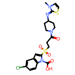 Cn1ccs/c1=N\C1CCN(C(=O)CCS(=O)(=O)c2cc3cc(Cl)ccc3n2C(=O)O)CC1